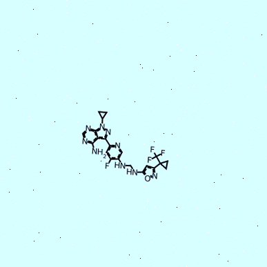 Nc1ncnc2c1c(-c1cc(F)c(NCNc3cc(C4(C(F)(F)F)CC4)no3)cn1)nn2C1CC1